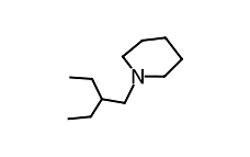 CCC(CC)CN1CCCCC1